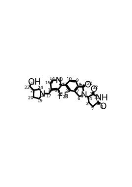 O=C1CCC(N2Cc3c(ccc(-c4nccc(CN5CCC(CO)C5)c4F)c3F)C2=O)C(=O)N1